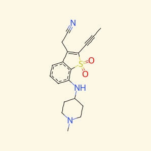 CC#CC1=C(CC#N)c2cccc(NC3CCN(C)CC3)c2S1(=O)=O